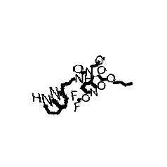 CCCCOC(=O)C[C@@H](c1ccc(OC(F)F)nc1)N(CC(OC)OC)C(=O)NCCCc1ccc2c(n1)NCCC2